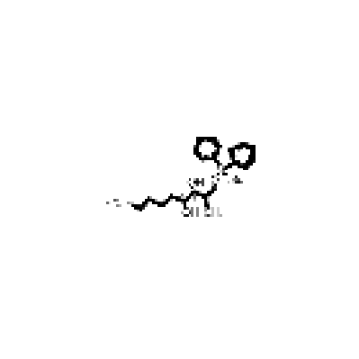 CCCCCCCCCCCCCC[C@@H](O)[C@@H](O)C(C)CO[Si](c1ccccc1)(c1ccccc1)C(C)(C)C